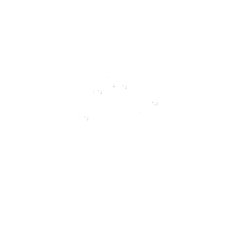 CC(C)C[C@H](NS(=O)(=O)c1ccc2ccccc2c1)C(=O)N[C@@](N)(C=O)C[C@@H]1CCNC1=O